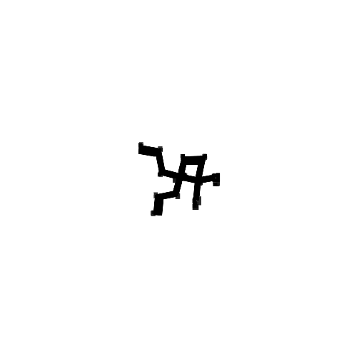 C=CC[N+]1(CC=C)C=CC1(Cl)Cl